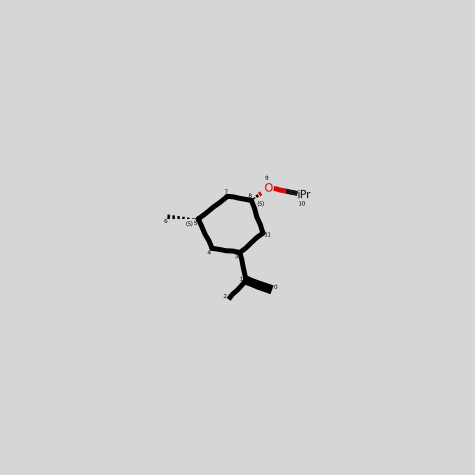 C=C(C)C1C[C@H](C)C[C@H](OC(C)C)C1